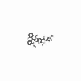 CCn1cc(NC(=O)c2cc3c(nc2OC)nc(C(c2ccccc2F)c2ccccc2P)n3CC)cn1